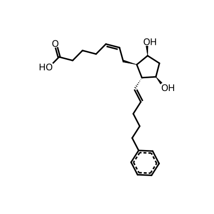 O=C(O)CCC/C=C\C[C@@H]1[C@@H](/C=C/CCCc2ccccc2)[C@H](O)C[C@@H]1O